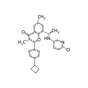 Cc1cc([C@@H](C)Nc2ccc(Cl)nc2)c2oc(-c3ccc(C4CCC4)cc3)c(C)c(=O)c2c1